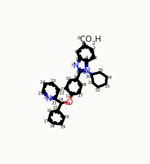 O=C(O)c1ccc2c(c1)nc(-c1ccc(OC(c3ccccc3)c3ccccn3)cc1)n2C1CCCCC1